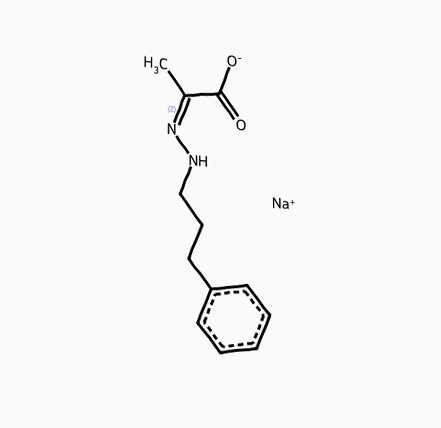 C/C(=N/NCCCc1ccccc1)C(=O)[O-].[Na+]